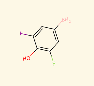 Bc1cc(F)c(O)c(I)c1